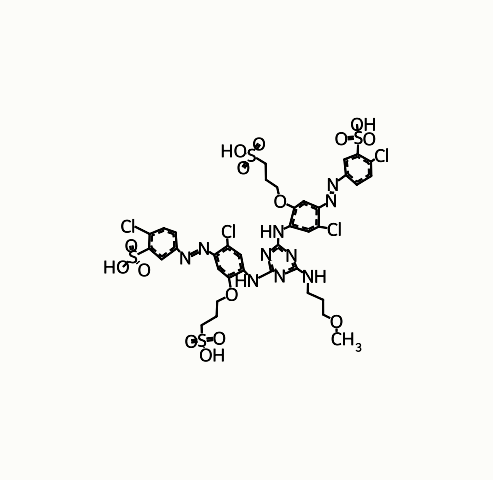 COCCCNc1nc(Nc2cc(Cl)c(N=Nc3ccc(Cl)c(S(=O)(=O)O)c3)cc2OCCCS(=O)(=O)O)nc(Nc2cc(Cl)c(N=Nc3ccc(Cl)c(S(=O)(=O)O)c3)cc2OCCCS(=O)(=O)O)n1